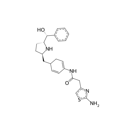 Nc1nc(CC(=O)NC2=CCC(C[C@H]3CC[C@H]([C@H](O)c4ccccc4)N3)C=C2)cs1